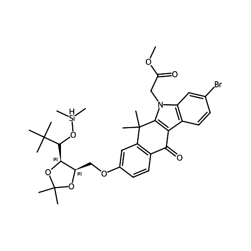 COC(=O)Cn1c2c(c3ccc(Br)cc31)C(=O)c1ccc(OC[C@H]3OC(C)(C)O[C@H]3C(O[SiH](C)C)C(C)(C)C)cc1C2(C)C